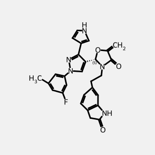 C=C1O[C@@H](c2cn(-c3cc(C)cc(F)c3)nc2-c2cc[nH]c2)N(CCc2ccc3c(c2)NC(=O)C3)C1=O